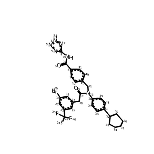 O=C(Nc1nn[nH]n1)c1ccc(CN(C(=O)Cc2cc(Br)cc(C(F)(F)F)c2)c2ccc(C3CCCCC3)cc2)cc1